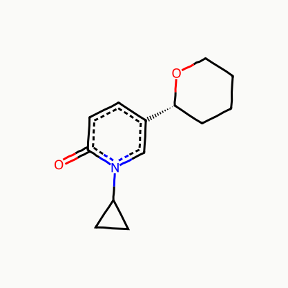 O=c1ccc([C@H]2CCCCO2)cn1C1CC1